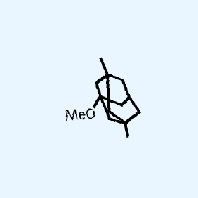 COC12CC3CC(C)(CC(C)(C3)C1)C2